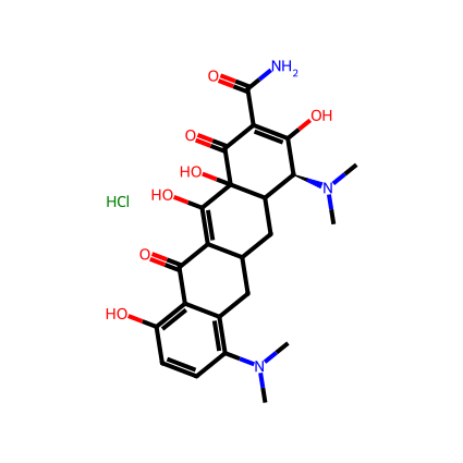 CN(C)c1ccc(O)c2c1CC1CC3[C@H](N(C)C)C(O)=C(C(N)=O)C(=O)C3(O)C(O)=C1C2=O.Cl